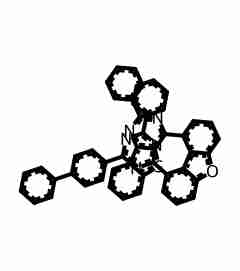 c1ccc(-c2ccc(-c3nc(-c4ccccc4)nc(-c4cccc5oc6cccc(-c7nc(-c8ccccc8)nc8c7sc7ccccc78)c6c45)n3)cc2)cc1